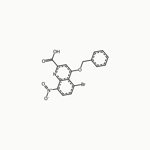 O=C(O)c1cc(OCc2ccccc2)c2c(Br)ccc([N+](=O)[O-])c2n1